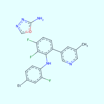 CCc1ccc(Nc2c(-c3cncc(C)c3)ccc(F)c2F)c(F)c1.Nc1nnco1